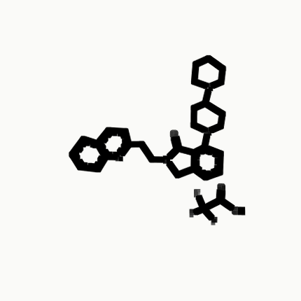 O=C(O)C(F)(F)F.O=C1c2c(cccc2N2CCC(N3CCCCC3)CC2)CN1CCc1ccc2ccccc2n1